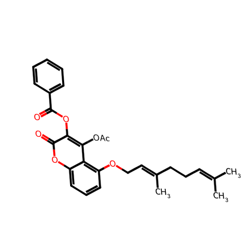 CC(=O)Oc1c(OC(=O)c2ccccc2)c(=O)oc2cccc(OC/C=C(\C)CCC=C(C)C)c12